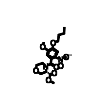 CCCCOc1cc([N+](=O)[O-])c(C(=O)N2CCOC[C@H]2C(=O)OC)cc1OC